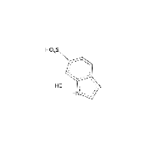 Cl.O=S(=O)(O)c1ccc2nc[nH]c2c1